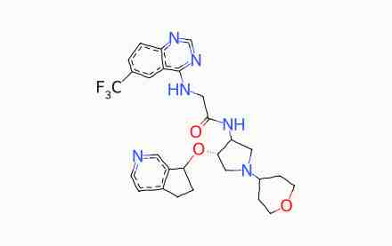 O=C(CNc1ncnc2ccc(C(F)(F)F)cc12)NC1CN(C2CCOCC2)C[C@@H]1OC1CCc2ccncc21